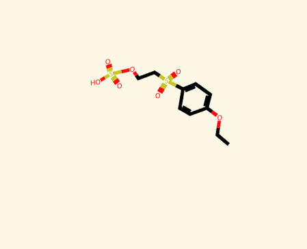 CCOc1ccc(S(=O)(=O)CCOS(=O)(=O)O)cc1